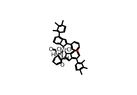 Cc1ccc(-c2cccc3c2C=C(c2ccccc2)[CH]3[Zr]([Cl])([Cl])([B](NC=O)NC=O)[CH]2C(c3ccccc3)=Cc3c(-c4ccc(C)c(C)c4C)cccc32)c(C)c1C